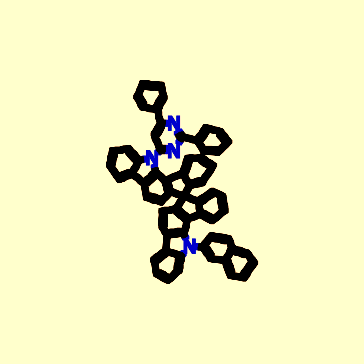 c1ccc(-c2cc(-n3c4ccccc4c4ccc5c(c43)-c3ccccc3C53c4ccccc4-c4c3ccc3c5ccccc5n(-c5ccc6ccccc6c5)c43)nc(-c3ccccc3)n2)cc1